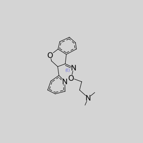 CN(C)CCO/N=C1/c2ccccc2OCC1c1ccccn1